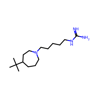 CC(C)(C)C1CCCN(CCCCCNC(=N)N)CC1